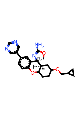 NC1=N[C@]2(CO1)c1cc(-c3cncnc3)ccc1OC1CCC(OCC3CC3)C[C@@H]12